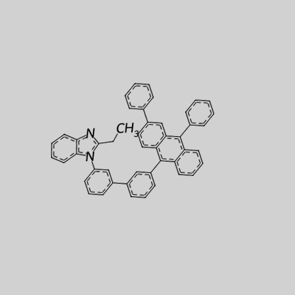 CCc1nc2ccccc2n1-c1cccc(-c2cccc(-c3c4ccccc4c(-c4ccccc4)c4cc(-c5ccccc5)ccc34)c2)c1